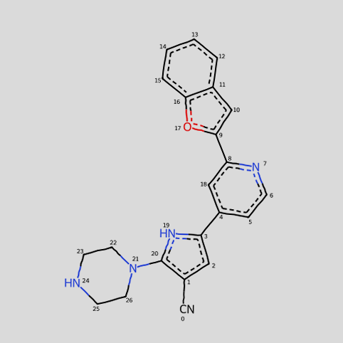 N#Cc1cc(-c2ccnc(-c3cc4ccccc4o3)c2)[nH]c1N1CCNCC1